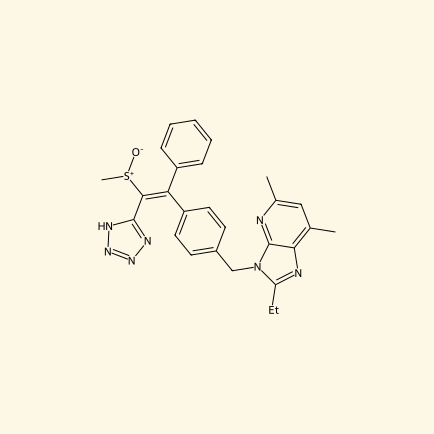 CCc1nc2c(C)cc(C)nc2n1Cc1ccc(/C(=C(\c2nnn[nH]2)[S+](C)[O-])c2ccccc2)cc1